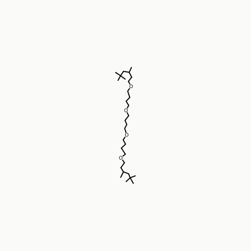 CC(CCOCCCCOCCCCOCCCCOCCC(C)CC(C)(C)C)CC(C)(C)C